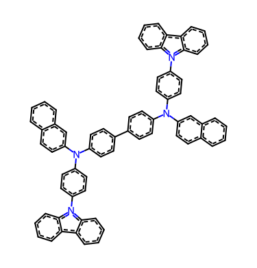 c1ccc2cc(N(c3ccc(-c4ccc(N(c5ccc(-n6c7ccccc7c7ccccc76)cc5)c5ccc6ccccc6c5)cc4)cc3)c3ccc(-n4c5ccccc5c5ccccc54)cc3)ccc2c1